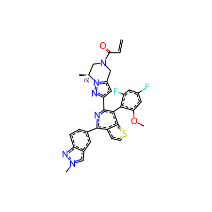 C=CC(=O)N1Cc2cc(-c3nc(-c4ccc5nn(C)cc5c4)c4ccsc4c3-c3c(F)cc(F)cc3OC)nn2[C@@H](C)C1